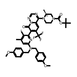 COc1ccc(CN(Cc2ccc(OC)cc2)c2cc(C)c(I)c(-c3c(C(F)(F)F)cc4c(N5CCN(C(=O)OC(C)(C)C)C[C@@H]5C)ncnn4c3=O)n2)cc1